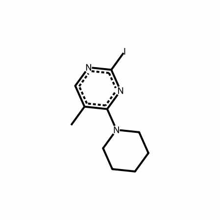 Cc1cnc(I)nc1N1CCCCC1